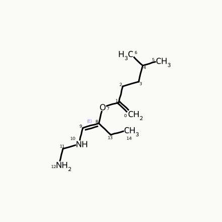 C=C(CCC(C)C)O/C(=C/NCN)CC